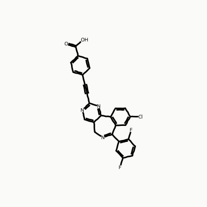 O=C(O)c1ccc(C#Cc2ncc3c(n2)-c2ccc(Cl)cc2C(c2cc(F)ccc2F)=NC3)cc1